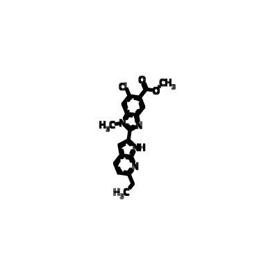 CCc1ccc2cc(-c3nc4cc(C(=O)OC)c(Cl)cc4n3C)[nH]c2n1